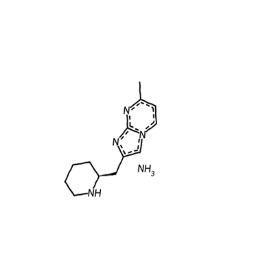 Cc1ccn2cc(C[C@@H]3CCCCN3)nc2n1.N